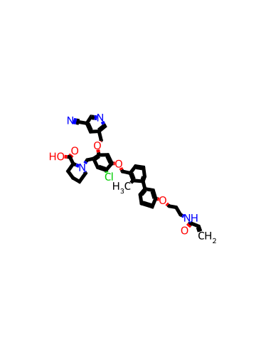 C=CC(=O)NCCCOc1cccc(-c2cccc(COc3cc(OCc4cncc(C#N)c4)c(CN4CCCCC4C(=O)O)cc3Cl)c2C)c1